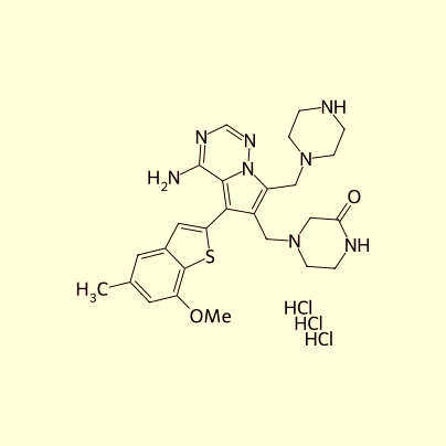 COc1cc(C)cc2cc(-c3c(CN4CCNC(=O)C4)c(CN4CCNCC4)n4ncnc(N)c34)sc12.Cl.Cl.Cl